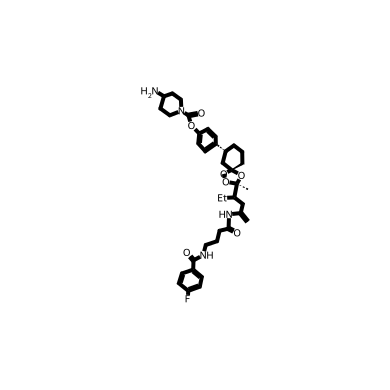 C=C(CC(CC)[C@@]1(C)OO[C@@]2(CCC[C@@H](c3ccc(OC(=O)N4CCC(N)CC4)cc3)C2)O1)NC(=O)CCCNC(=O)c1ccc(F)cc1